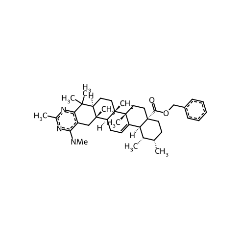 CNc1nc(C)nc2c1C[C@]1(C)[C@H](CC[C@@]3(C)[C@H]1CC=C1[C@@H]4[C@@H](C)[C@@H](C)CC[C@]4(C(=O)OCc4ccccc4)CC[C@]13C)C2(C)C